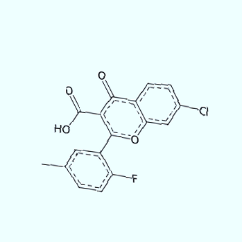 Cc1ccc(F)c(-c2oc3cc(Cl)ccc3c(=O)c2C(=O)O)c1